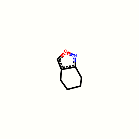 c1onc2c1CCCC2